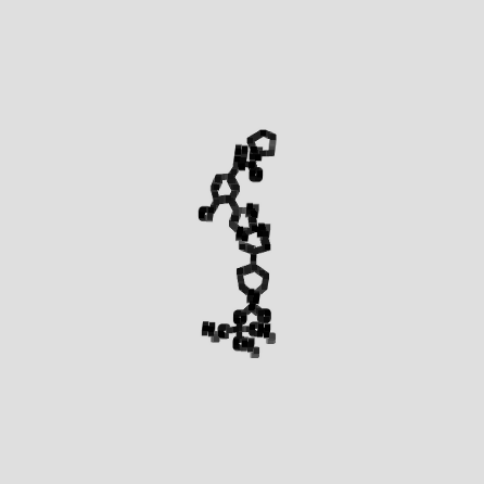 CC(C)(C)OC(=O)N1CC=C(c2cnc3nc(-c4cc(NC(=O)N5CCCC5)ccc4Cl)cn3c2)CC1